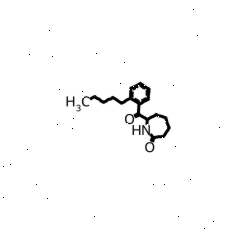 CCCCCc1ccccc1C(=O)C1CCCCC(=O)N1